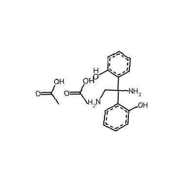 CC(=O)O.CC(=O)O.NCC(N)(c1ccccc1O)c1ccccc1O